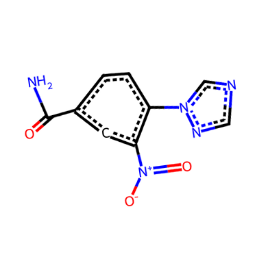 NC(=O)c1ccc(-n2cncn2)c([N+](=O)[O-])c1